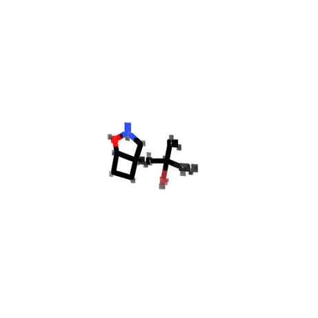 C1CC2ONCC12.CC(C)(Br)C(=O)O